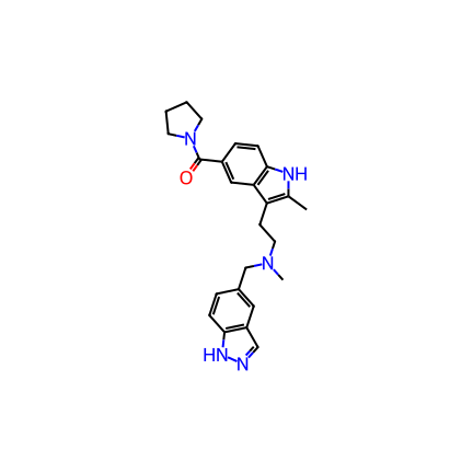 Cc1[nH]c2ccc(C(=O)N3CCCC3)cc2c1CCN(C)Cc1ccc2[nH]ncc2c1